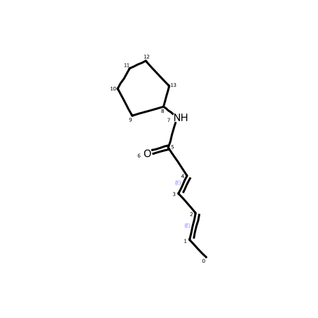 C/C=C/C=C/C(=O)NC1CCCCC1